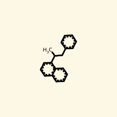 CC(Cc1ccccc1)c1cccc2ccccc12